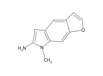 Cn1c(N)cc2cc3ccoc3cc21